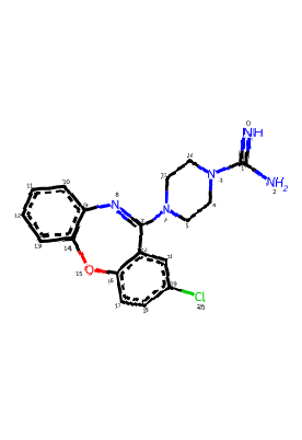 N=C(N)N1CCN(C2=Nc3ccccc3Oc3ccc(Cl)cc32)CC1